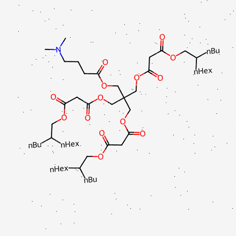 CCCCCCC(CCCC)COC(=O)CC(=O)OCC(COC(=O)CCCN(C)C)(COC(=O)CC(=O)OCC(CCCC)CCCCCC)COC(=O)CC(=O)OCC(CCCC)CCCCCC